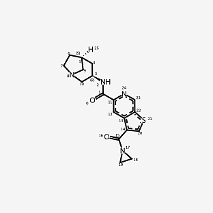 O=C(N[C@@H]1C[C@@H]2CCN(C2)C1)c1cc2c(C(=O)N3CC3)csc2cn1